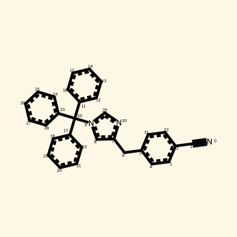 N#Cc1ccc(Cc2cn(C(c3ccccc3)(c3ccccc3)c3ccccc3)cn2)cc1